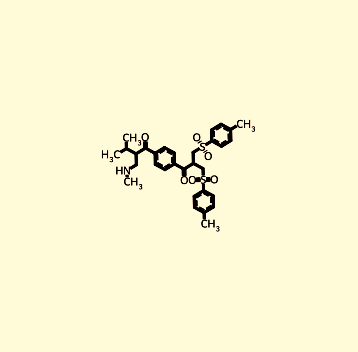 CNCC(C(=O)c1ccc(C(=O)C(CS(=O)(=O)c2ccc(C)cc2)CS(=O)(=O)c2ccc(C)cc2)cc1)C(C)C